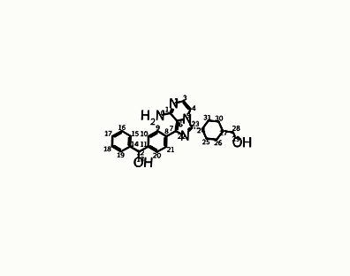 Nc1nccn2c1c(-c1ccc(C(O)c3ccccc3)cc1)nc2[C@H]1CC[C@H](CO)CC1